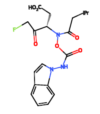 CC(C)CC(=O)N(OC(=O)Nn1ccc2ccccc21)[C@@H](CC(=O)O)C(=O)CF